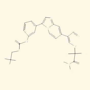 CN(C)C(=O)C(C)(C)N/C=C(\C=N)c1ccn2c(-c3cccc(NC(=O)NCC(F)(F)F)c3)cnc2c1